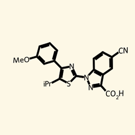 COc1cccc(-c2nc(-n3nc(C(=O)O)c4cc(C#N)ccc43)sc2C(C)C)c1